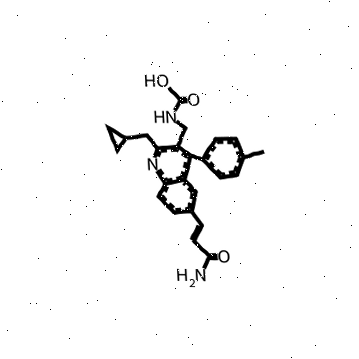 Cc1ccc(-c2c(CNC(=O)O)c(CC3CC3)nc3ccc(C=CC(N)=O)cc23)cc1